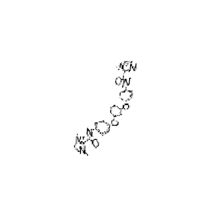 Cn1cc[n+](C)c1/C([O-])=N/c1ccc(Oc2cccc(Oc3ccc(/N=C(\[O-])c4n(C)cc[n+]4C)cc3)c2)cc1